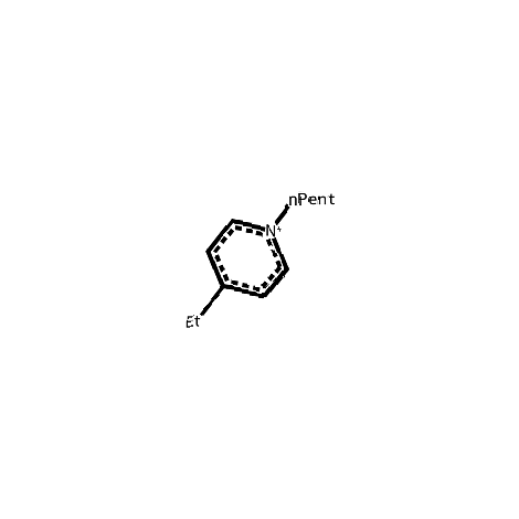 CCCCC[n+]1ccc(CC)cc1